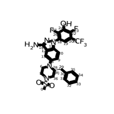 CS(=O)(=O)N1CCN(c2ccc3c(c2)c(N)nn3-c2cc(C(F)(F)F)c(F)c(O)c2F)[C@H](Cc2ccccc2)C1